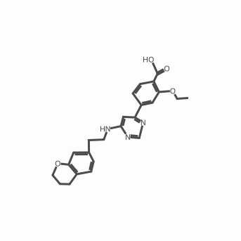 CCOc1cc(-c2cc(NCCc3ccc4c(c3)OCCC4)ncn2)ccc1C(=O)O